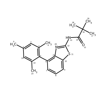 Cc1cc(C)c(-c2cccc3sc(NC(=O)C(C)(C)C)nc23)c(C)c1